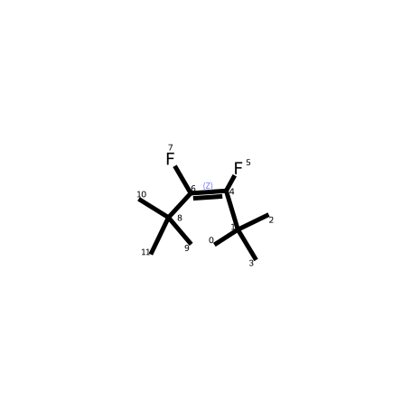 CC(C)(C)/C(F)=C(/F)C(C)(C)C